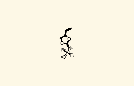 C=CC1COC(=NP(=O)(F)F)O1